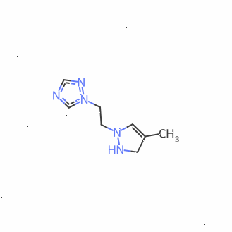 CC1=CN(CCn2cncn2)NC1